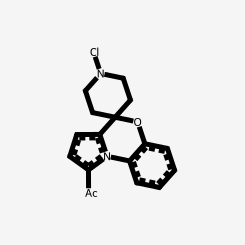 CC(=O)c1ccc2n1-c1ccccc1OC21CCN(Cl)CC1